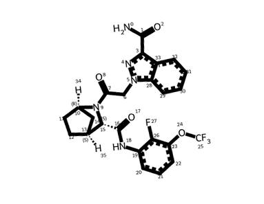 NC(=O)c1nn(CC(=O)N2[C@@H]3CC[C@@H](C3)[C@H]2C(=O)Nc2cccc(OC(F)(F)F)c2F)c2ccccc12